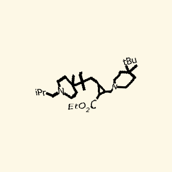 CCOC(=O)C1C(CN2CCC(C)(C(C)(C)C)CC2)C1CC(C)(C)C1(C)CCN(CC(C)C)CC1